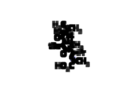 CCC(CC)(C(=O)NC(C(=O)N(C)[C@H](/C=C(\C)C(=O)O)C(C)C)C(C)(C)C)N(C)C